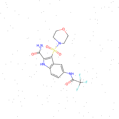 NC(=O)c1[nH]c2ccc(NC(=O)C(F)(F)F)cc2c1S(=O)(=O)N1CCOCC1